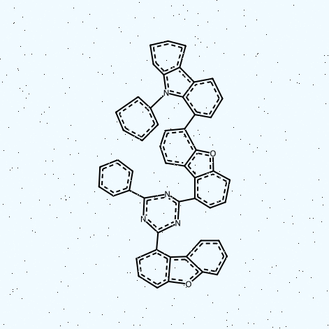 c1ccc(-c2nc(-c3cccc4oc5ccccc5c34)nc(-c3cccc4oc5c(-c6cccc7c8ccccc8n(-c8ccccc8)c67)cccc5c34)n2)cc1